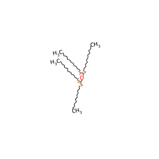 CCCCCCCCCCCCSC(COCC(SCCCCCCCCCCCC)SCCCCCCCCCCCC)SCCCCCCCCCCCC